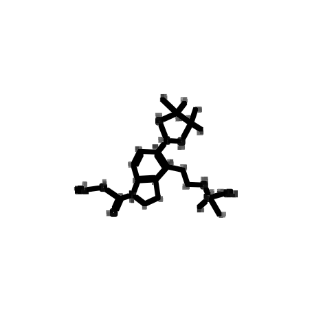 CC(C)(C)OC(=O)N1CCc2c1ccc(B1OC(C)(C)C(C)(C)O1)c2CCO[Si](C)(C)C(C)(C)C